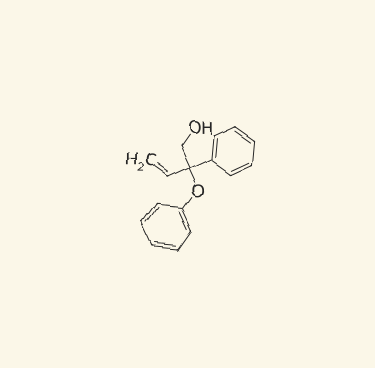 C=CC(CO)(Oc1ccccc1)c1ccccc1